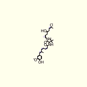 COc1cc(/C=C(C)/C=C\C=C/C(=O)N[C@H](C(=O)N/C=C\C[C@@H](O)C/C=C(\C)Cl)C(C)(C)C)ccc1O